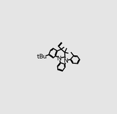 C=CC1(C)c2ccc(C(C)(C)C)cc2N2c3ccccc3N(c3ccccc3C)C2C1(C)C